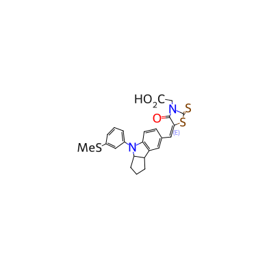 CSc1cccc(N2c3ccc(/C=C4/SC(=S)N(CC(=O)O)C4=O)cc3C3CCCC32)c1